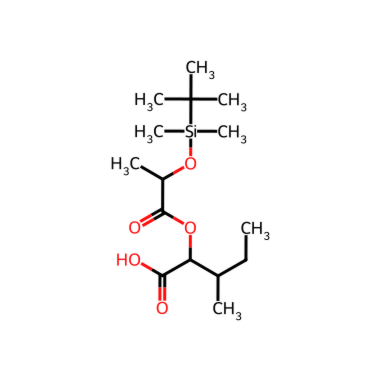 CCC(C)C(OC(=O)C(C)O[Si](C)(C)C(C)(C)C)C(=O)O